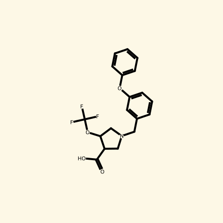 O=C(O)C1CN(Cc2cccc(Oc3ccccc3)c2)CC1OC(F)(F)F